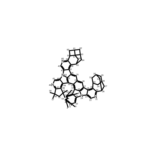 CC1(C)CC(C)(C)c2c1ncc1c2c2c3c(cc4c5c6c(ncc5n1c42)C1CC2CC(C1)CC6C2)cc1c2c4c(ncc2n2c5cnc6c(c5c3c12)C(C)(C)CC6(C)C)C1CC2CC3CC4CC321